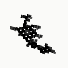 N=C(N)NCCC[C@H](NC(=O)[C@H](CCC(=O)O)NC(=O)CCCNC(=O)c1ccc(NCc2cnc3nc(N)[nH]c(=O)c3n2)cc1)C(=O)N[C@@H](CC(=O)O)C(=O)N[C@@H](CC(=O)O)C(=O)N[C@@H](CS)C(=O)O